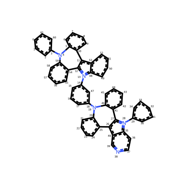 c1ccc(N2c3ccccc3-c3c(n(-c4cccc(N5c6ccccc6-c6c(n(-c7ccccc7)c7ccncc67)-c6ccccc65)c4)c4ccccc34)-c3ccccc32)cc1